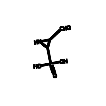 O=CC1NC1P(=O)(O)O